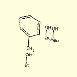 CCCCO.CCCCO.CCO.Cc1ccccc1